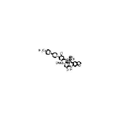 COc1cc(N2CCC(N3CCN(C)CC3)CC2)c(Cl)cc1Nc1ncc(Br)c(Nc2cc3c(cc2NS(C)(=O)=O)CCO3)n1